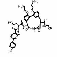 Cc1nc(-c2ccc(C(C)(C)C)cc2)ncc1C(=O)N[C@@H](CCO)C(=O)N(C)[C@@H]1C(=O)N[C@@H](C)C(=O)N[C@H](C(=O)NCC#N)Cc2ccc(OCCN)c(c2)-c2cc1ccc2OCCN